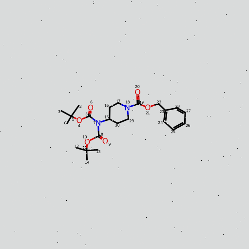 CC(C)(C)OC(=O)N(C(=O)OC(C)(C)C)C1CCN(C(=O)OCc2ccccc2)CC1